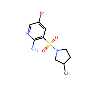 C[C]1CCN(S(=O)(=O)c2cc(Br)cnc2N)C1